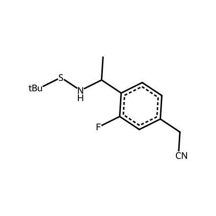 CC(NSC(C)(C)C)c1ccc(CC#N)cc1F